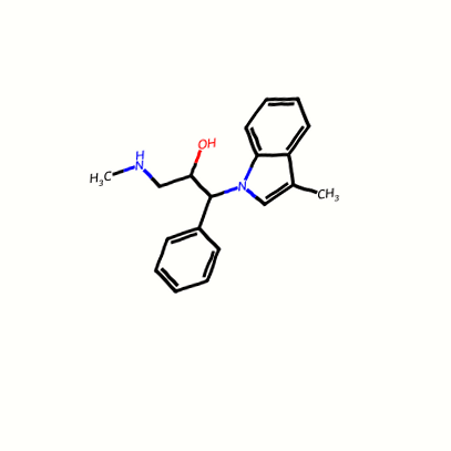 CNCC(O)C(c1ccccc1)n1cc(C)c2ccccc21